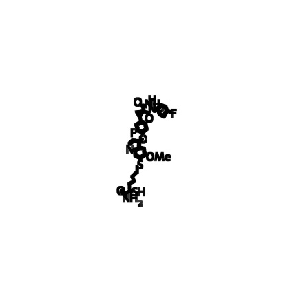 COc1cc2c(Oc3ccc(C4CC4(C(N)=O)C(=O)Nc4ccc(F)cc4)cc3F)ccnc2cc1SCCCCCC(S)C(N)=O